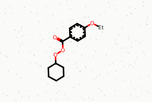 CCOc1ccc(C(=O)OO[C]2CCCCC2)cc1